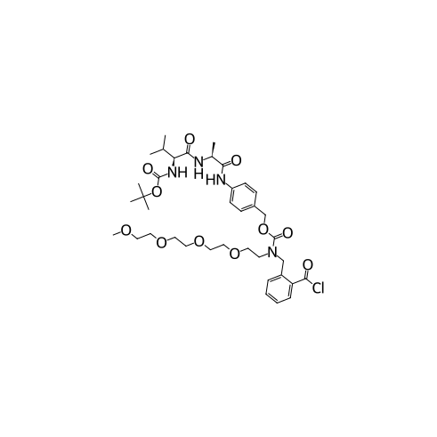 COCCOCCOCCOCCN(Cc1ccccc1C(=O)Cl)C(=O)OCc1ccc(NC(=O)[C@H](C)NC(=O)[C@@H](NC(=O)OC(C)(C)C)C(C)C)cc1